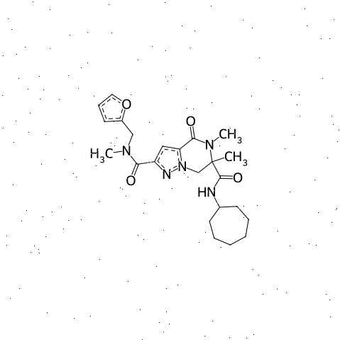 CN(Cc1ccco1)C(=O)c1cc2n(n1)CC(C)(C(=O)NC1CCCCCC1)N(C)C2=O